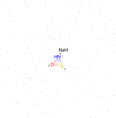 [NaH].[nH]1os1